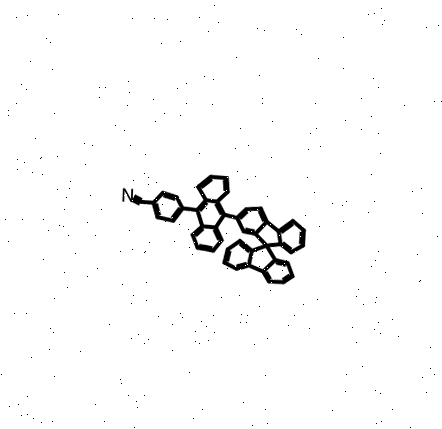 N#Cc1ccc(-c2c3ccccc3c(-c3ccc4c(c3)C3(c5ccccc5-c5ccccc53)c3ccccc3-4)c3ccccc23)cc1